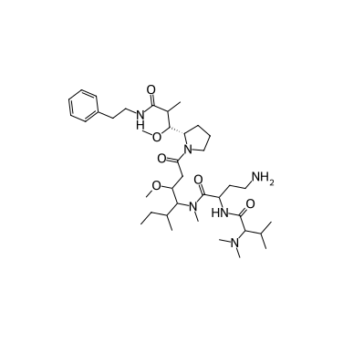 CCC(C)C(C(CC(=O)N1CCC[C@H]1C(OC)C(C)C(=O)NCCc1ccccc1)OC)N(C)C(=O)C(CCN)NC(=O)C(C(C)C)N(C)C